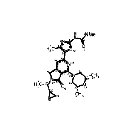 CNC(=O)Nc1nc(C)c(-c2cc3c(c(N4C[C@@H](C)O[C@@H](C)C4)n2)C(=O)N([C@@H](C)C2CC2)C3)s1